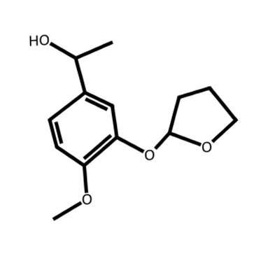 COc1ccc(C(C)O)cc1OC1CCCO1